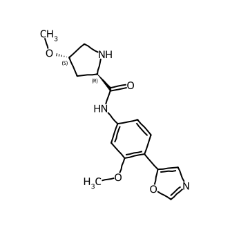 COc1cc(NC(=O)[C@H]2C[C@H](OC)CN2)ccc1-c1cnco1